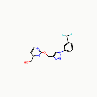 OCc1ccnc(OCc2cn(-c3cccc(C(F)F)c3)nn2)n1